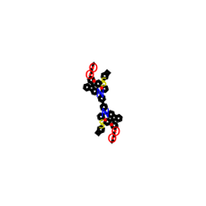 CCOCCOc1ccc(C2(c3ccc(Sc4ccc5c(c4)CC5)cc3)c3ccccc3-c3ccc(N(c4ccccc4)c4ccc(-c5ccc(N(c6ccccc6)c6ccc7c(c6)C(c6ccc(OCCOCC)cc6)(c6ccc(Sc8ccc9c(c8)CC9)cc6)c6ccccc6-7)cc5)cc4)cc32)cc1